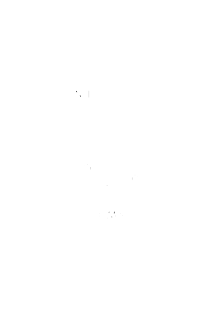 COC(=O)OCC[NH]